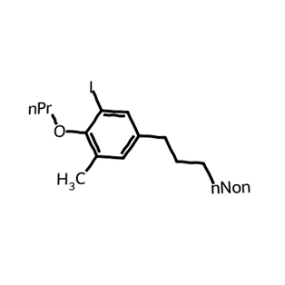 CCCCCCCCCCCCc1cc(C)c(OCCC)c(I)c1